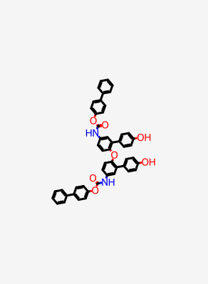 O=C(Nc1ccc(Oc2ccc(NC(=O)Oc3ccc(-c4ccccc4)cc3)cc2-c2ccc(O)cc2)c(-c2ccc(O)cc2)c1)Oc1ccc(-c2ccccc2)cc1